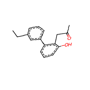 CCc1cccc(-c2cccc(O)c2CC(C)=O)c1